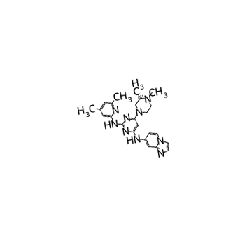 Cc1cc(C)nc(Nc2nc(Nc3ccn4ccnc4c3)cc(N3CCN(C)[C@@H](C)C3)n2)c1